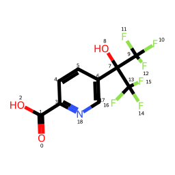 O=C(O)c1ccc(C(O)(C(F)(F)F)C(F)(F)F)cn1